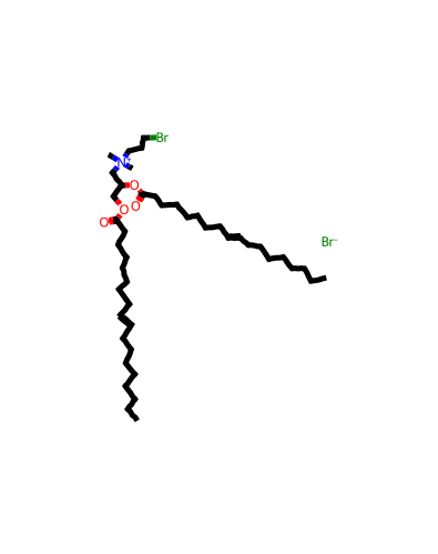 CCCCCCCCC=CCCCCCCCC(=O)OCC(C[N+](C)(C)CCCBr)OC(=O)CCCCCCCC=CCCCCCCCC.[Br-]